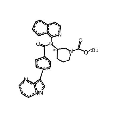 CC(C)(C)OC(=O)N1CCC[C@@H](N(C(=O)c2ccc(-c3cnn4cccnc34)cc2)c2nccc3ccccc23)C1